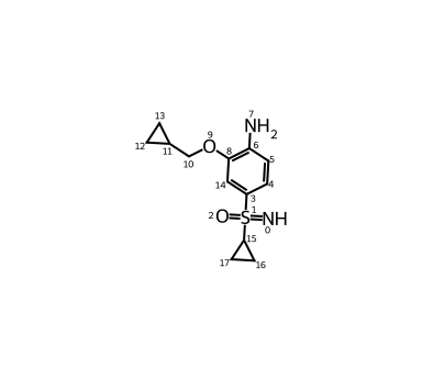 N=S(=O)(c1ccc(N)c(OCC2CC2)c1)C1CC1